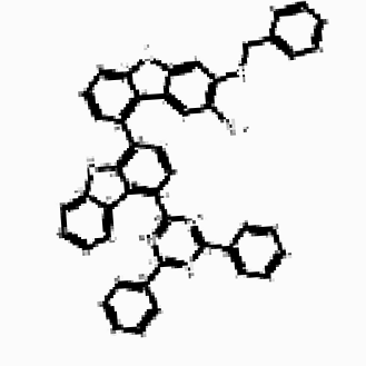 Nc1cc2c(cc1OCc1ccccc1)oc1cccc(-c3ccc(-c4nc(-c5ccccc5)nc(-c5ccccc5)n4)c4c3oc3ccccc34)c12